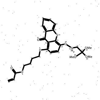 C=CC(=O)OCCCCOc1ccc(O[SiH2]CC(OC)(OC)OC)c2sc3ccccc3c(=O)c12